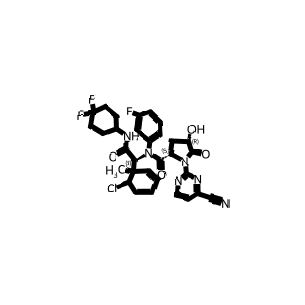 CC1([C@@H](C(=O)NC2CCC(F)(F)CC2)N(C(=O)[C@@H]2C[C@@H](O)C(=O)N2c2nccc(C#N)n2)c2cccc(F)c2)C=CC=CC1Cl